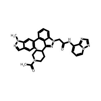 CC(=O)N1CCC(c2nn(CC(=O)Nc3cccn4ncnc34)c3cccc(-c4cc5c(cnn5C)cc4F)c23)CC1